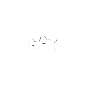 C=C(C(=O)C1(Cl)CC1)c1ccc(OC(F)(F)C(F)Cl)cc1